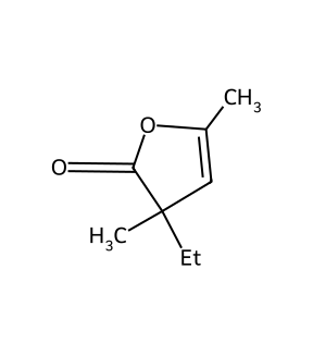 CCC1(C)C=C(C)OC1=O